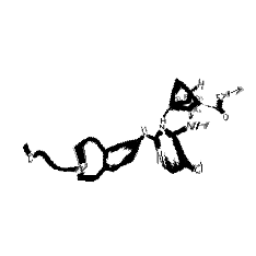 COCCN1CCc2ccc(Nc3ncc(Cl)c(N[C@H]4[C@@H](C(=O)O)[C@H]5C=C[C@@H]4C5)n3)cc2CC1